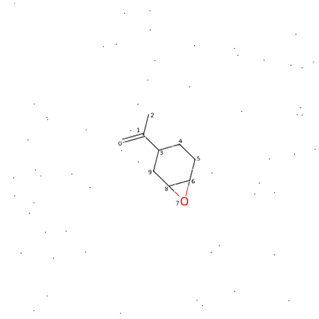 C=C(C)C1CCC2OC2C1